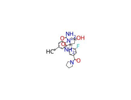 C#Cc1ccc([N+]2(C(N)=O)C[C@H](O)C[C@]2(C(N)=O)c2ccc(C(=O)N3CCCC3)cc2F)cc1